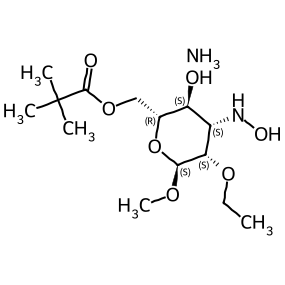 CCO[C@@H]1[C@@H](OC)O[C@H](COC(=O)C(C)(C)C)[C@@H](O)[C@@H]1NO.N